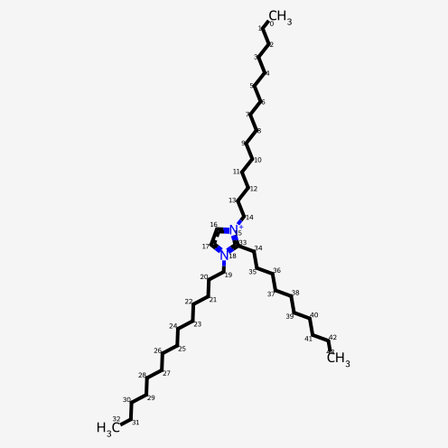 CCCCCCCCCCCCCCC[n+]1ccn(CCCCCCCCCCCCCC)c1CCCCCCCCCC